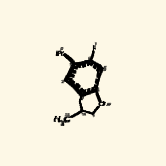 CC(C)c1cc2c(cc1F)OCC2C